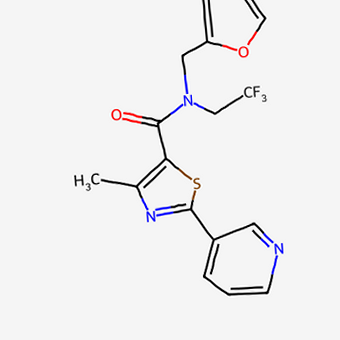 Cc1nc(-c2cccnc2)sc1C(=O)N(Cc1ccco1)CC(F)(F)F